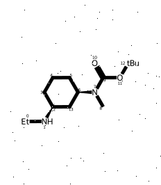 CCN[C@H]1CCC[C@@H](N(C)C(=O)OC(C)(C)C)C1